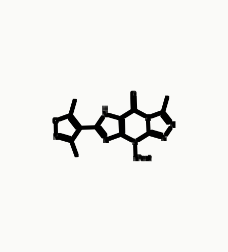 CCCCCn1c2nc(-c3c(C)noc3C)[nH]c2c(=O)n2c(C)nnc12